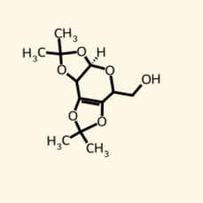 CC1(C)OC2=C(O1)C1OC(C)(C)O[C@H]1OC2CO